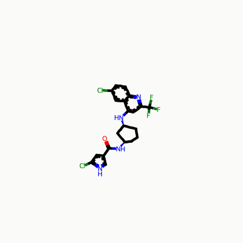 O=C(N[C@@H]1CCC[C@H](Nc2cc(C(F)(F)F)nc3ccc(Cl)cc23)C1)c1c[nH]c(Cl)c1